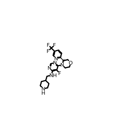 Fc1c(NCC2CCNCC2)ncnc1N1CCOC[C@@H]1c1ccc(C(F)(F)F)cn1